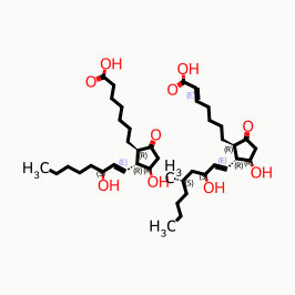 CCCCC[C@H](O)/C=C/[C@H]1[C@H](O)CC(=O)[C@@H]1CCCCCCC(=O)O.CCCC[C@H](C)C[C@H](O)/C=C/[C@H]1[C@H](O)CC(=O)[C@@H]1CCCC/C=C/C(=O)O